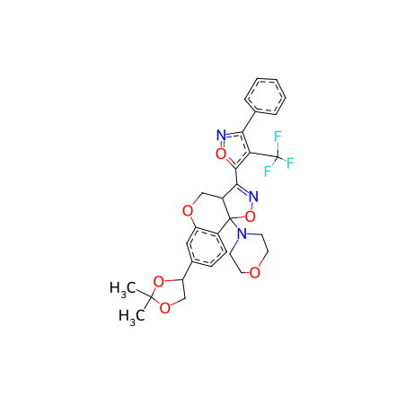 CC1(C)OCC(c2ccc3c(c2)OCC2C(c4onc(-c5ccccc5)c4C(F)(F)F)=NOC32N2CCOCC2)O1